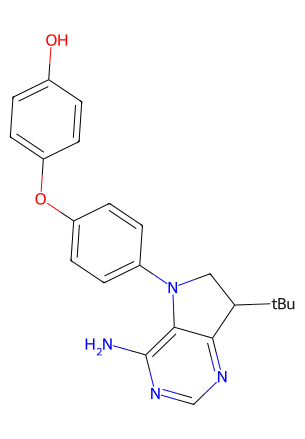 CC(C)(C)C1CN(c2ccc(Oc3ccc(O)cc3)cc2)c2c(N)ncnc21